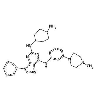 CN1CCN(c2cccc(Nc3nc(NC4CCC(N)CC4)nc4c3ncn4-c3ccccc3)c2)CC1